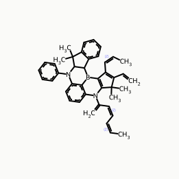 C=CC1=C(/C=C\C)C2=C(N(C(=C)/C=C\C=C/C)c3cccc4c3B2C2c3ccccc3C(C)(C)C2N4c2ccccc2)C1(C)C